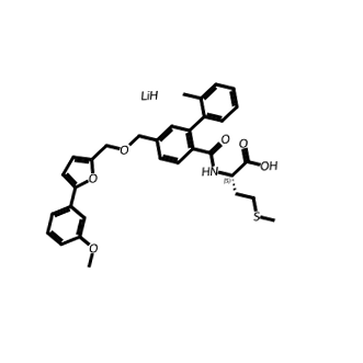 COc1cccc(-c2ccc(COCc3ccc(C(=O)N[C@@H](CCSC)C(=O)O)c(-c4ccccc4C)c3)o2)c1.[LiH]